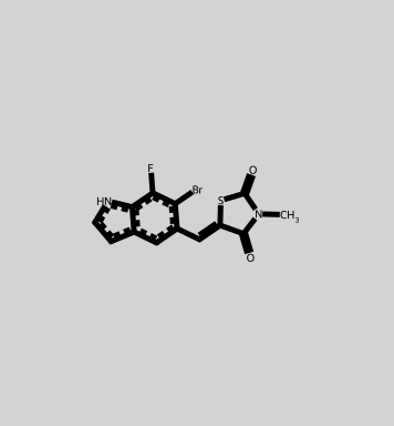 CN1C(=O)S/C(=C\c2cc3cc[nH]c3c(F)c2Br)C1=O